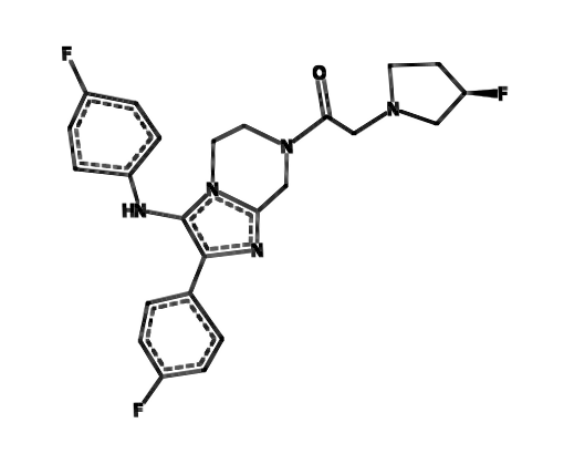 O=C(CN1CC[C@@H](F)C1)N1CCn2c(nc(-c3ccc(F)cc3)c2Nc2ccc(F)cc2)C1